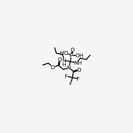 CCCNC(NCCC)(N(CC(=O)OCC)C(=O)C(F)(F)F)P(=O)(O)O